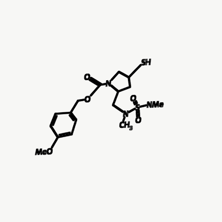 CNS(=O)(=O)N(C)CC1CC(S)CN1C(=O)OCc1ccc(OC)cc1